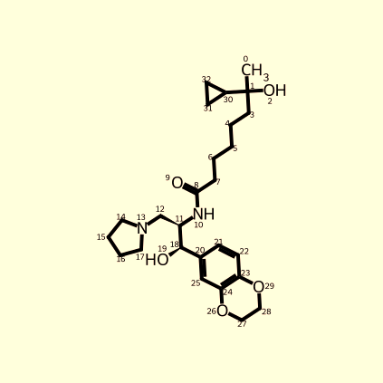 CC(O)(CCCCCC(=O)N[C@H](CN1CCCC1)[C@H](O)c1ccc2c(c1)OCCO2)C1CC1